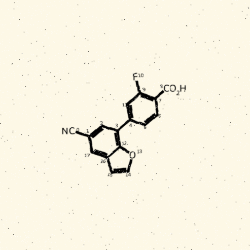 N#Cc1cc(-c2ccc(C(=O)O)c(F)c2)c2occc2c1